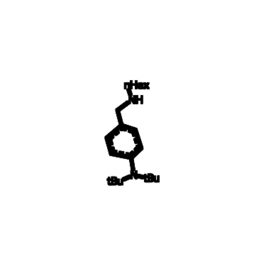 CCCCCCNCc1ccc(N(C(C)(C)C)C(C)(C)C)cc1